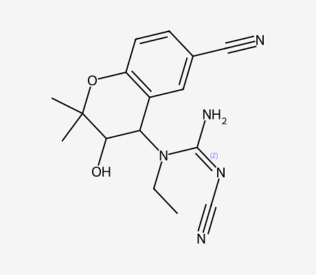 CCN(/C(N)=N\C#N)C1c2cc(C#N)ccc2OC(C)(C)C1O